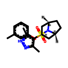 Cc1cccc(O[C@@H]2C[C@H]3CC[C@@H](C2)N3S(=O)(=O)c2c(C)n[nH]c2C)c1